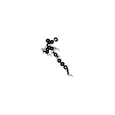 CCCCCC1CCC(c2ccc(-c3ccc(OC(=O)C4CCC(C(=O)Oc5cc6c7c(c8c(c6cc5OC)OC(c5ccccc5)(c5ccc(N6CCCCC6)cc5)C=C8)C(C)(C)c5c-7cc(C)cc5C(F)(F)F)CC4)cc3)cc2)CC1